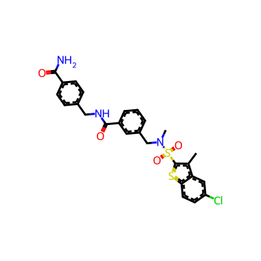 Cc1c(S(=O)(=O)N(C)Cc2cccc(C(=O)NCc3ccc(C(N)=O)cc3)c2)sc2ccc(Cl)cc12